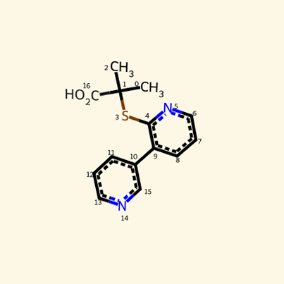 CC(C)(Sc1ncccc1-c1cccnc1)C(=O)O